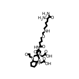 NC(=O)[C@@H](N)CCCCNCOCCCC(=O)NCCC1(N(CC=O)CC(=O)O)CN(CC=O)C2CCCC[C@@H]2N(CC(=O)O)C1